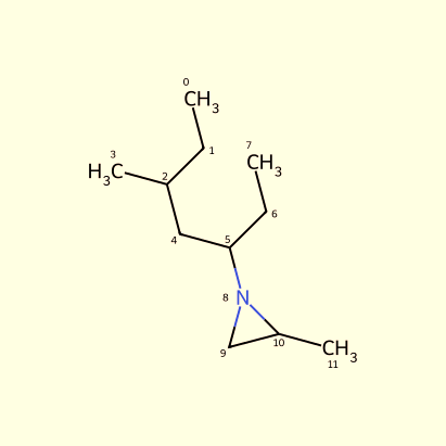 CCC(C)CC(CC)N1CC1C